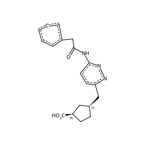 O=C(Cc1ccccc1)Nc1ccc(C[C@H]2CC[C@@H](C(=O)O)C2)nn1